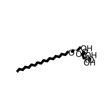 CCCCCCCCCCCCCCCCCCOC[C@H](CO)OC(=O)CP(=O)(O)O